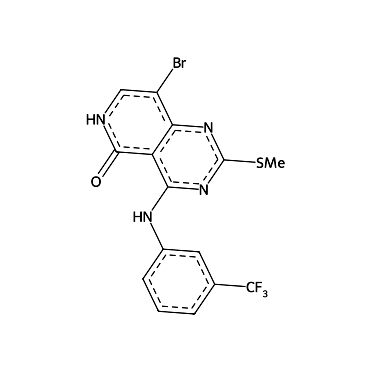 CSc1nc(Nc2cccc(C(F)(F)F)c2)c2c(=O)[nH]cc(Br)c2n1